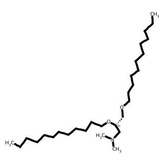 CCCCCCCCCCCCOC[C@H](CN(C)C)OCCCCCCCCCCCC